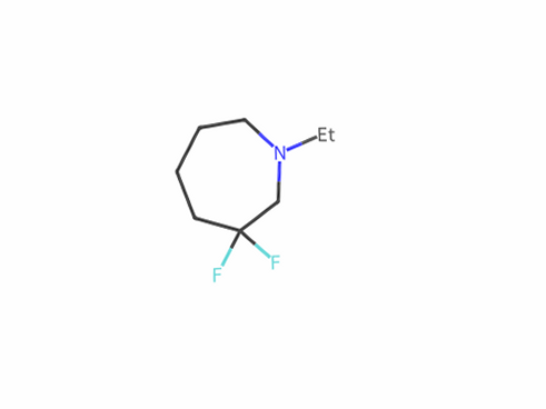 CCN1CCCCC(F)(F)C1